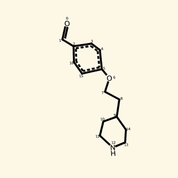 O=Cc1ccc(OCCC2CCNCC2)cc1